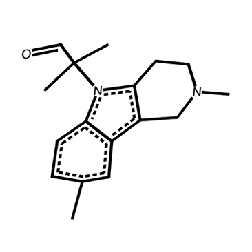 Cc1ccc2c(c1)c1c(n2C(C)(C)C=O)CCN(C)C1